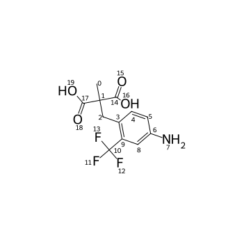 CC(Cc1ccc(N)cc1C(F)(F)F)(C(=O)O)C(=O)O